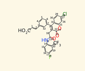 O=C(O)C=Cc1cccc(-c2c(CC(=O)Nc3ccc(F)cc3C(F)(F)F)c(=O)oc3cc(Cl)ccc23)c1